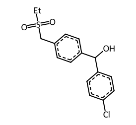 CCS(=O)(=O)Cc1ccc(C(O)c2ccc(Cl)cc2)cc1